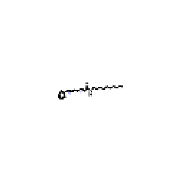 CCCCCCCCCCNC(=O)/C=C/CC/C=C/c1ccccc1